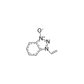 C=Cn1n[n+]([O-])c2ccccc21